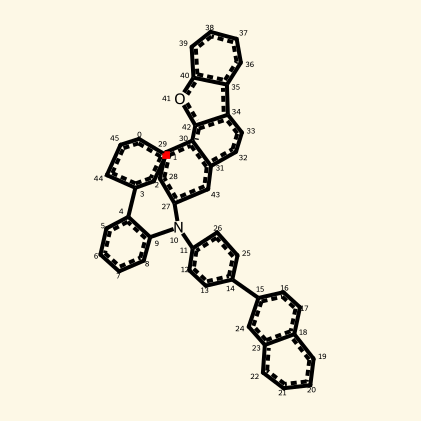 c1ccc(-c2ccccc2N(c2ccc(-c3ccc4ccccc4c3)cc2)c2ccc3c(ccc4c5ccccc5oc34)c2)cc1